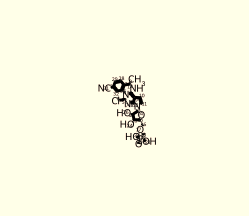 C[C@H](Nc1nc(Cl)nc2c1ccn2[C@@H]1O[C@H](COCP(=O)(O)O)[C@@H](O)[C@H]1O)c1ccc(C#N)cc1